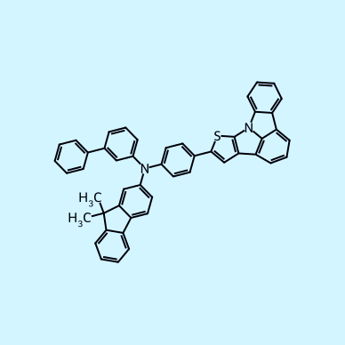 CC1(C)c2ccccc2-c2ccc(N(c3ccc(-c4cc5c6cccc7c8ccccc8n(c5s4)c76)cc3)c3cccc(-c4ccccc4)c3)cc21